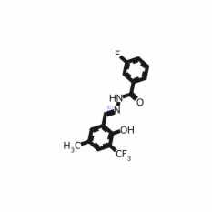 Cc1cc(/C=N/NC(=O)c2cccc(F)c2)c(O)c(C(F)(F)F)c1